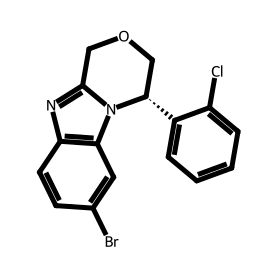 Clc1ccccc1[C@H]1COCc2nc3ccc(Br)cc3n21